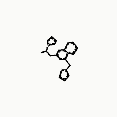 [CH2]C(Cc1cc(Cc2cccs2)c2ccccc2c1)n1cccc1